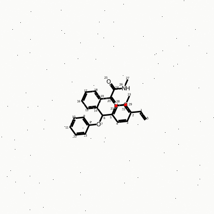 C=Cc1ccc(C(Oc2ccccc2)c2ccccc2C(=NOC)C(=O)NC)cc1